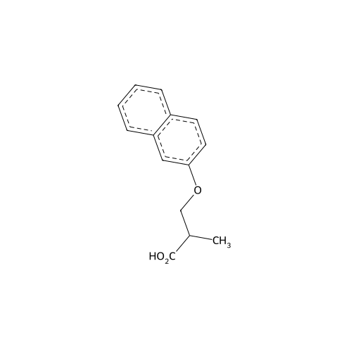 CC(COc1ccc2ccccc2c1)C(=O)O